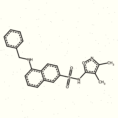 Cc1noc(NS(=O)(=O)c2ccc3c(NCc4ccccc4)cccc3c2)c1C